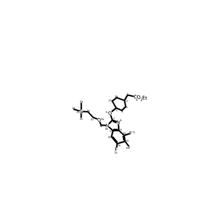 CCOC(=O)CC1CCC(Oc2nc3c(F)c(I)c(F)cc3n2COCC[Si](C)(C)C)CC1